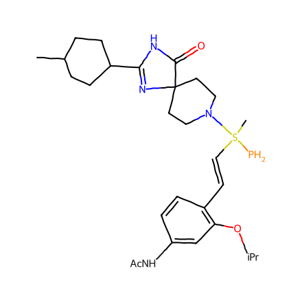 CC(=O)Nc1ccc(/C=C/S(C)(P)N2CCC3(CC2)N=C(C2CCC(C)CC2)NC3=O)c(OC(C)C)c1